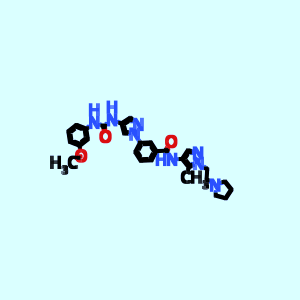 COc1cccc(NC(=O)Nc2cnn(-c3cccc(C(=O)Nc4cnn(CCN5CCCC5)c4C)c3)c2)c1